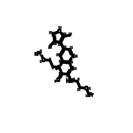 CCCOCCn1c(=O)c(NCCOC(C)C)nc2ncc(-c3c(C)noc3C)cc21